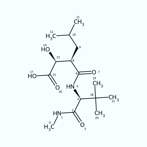 CNC(=O)[C@@H](NC(=O)[C@H](CC(C)C)[C@H](O)C(=O)O)C(C)(C)C